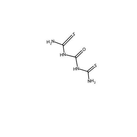 NC(=S)NC(=O)NC(N)=S